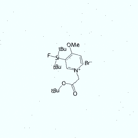 COc1cc[n+](CC(=O)OC(C)(C)C)cc1[Si](F)(C(C)(C)C)C(C)(C)C.[Br-]